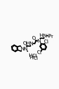 CC(C)NCCN(C(=O)CNCC(=O)N(C)N1Cc2ccccc2C1)c1cc(Cl)ccc1Cl.Cl.Cl